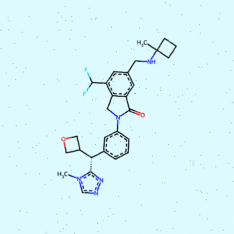 Cn1cnnc1[C@@H](c1cccc(N2Cc3c(cc(CNC4(C)CCC4)cc3C(F)F)C2=O)c1)C1COC1